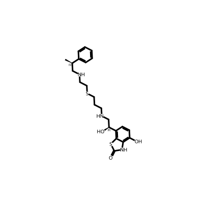 C[C@H](CNCCSCCCNC[C@H](O)c1ccc(O)c2[nH]c(=O)sc12)c1ccccc1